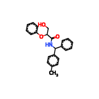 Cc1ccc(C(NC(=O)C(CO)Oc2ccccc2)c2ccccc2)cc1